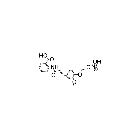 COc1cc(/C=C/C(=O)Nc2ccccc2C(=O)O)ccc1OCCO[N+](=O)O